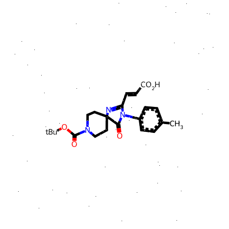 Cc1ccc(N2C(=O)C3(CCN(C(=O)OC(C)(C)C)CC3)N=C2/C=C/C(=O)O)cc1